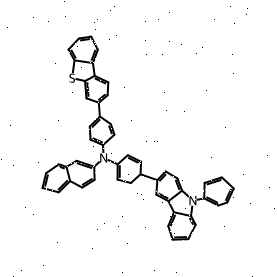 C1=CC(c2ccc3c(c2)c2ccccc2n3-c2ccccc2)CC=C1N(c1ccc(-c2ccc3c(c2)sc2ccccc23)cc1)c1ccc2ccccc2c1